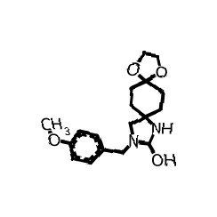 COc1ccc(CN2CC3(CCC4(CC3)OCCO4)NC2O)cc1